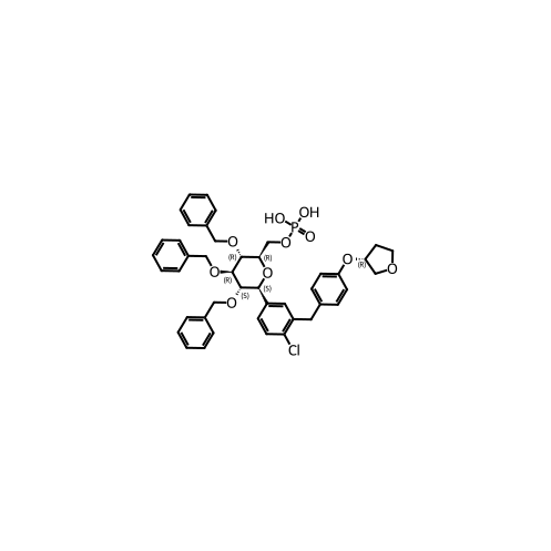 O=P(O)(O)OC[C@H]1O[C@@H](c2ccc(Cl)c(Cc3ccc(O[C@@H]4CCOC4)cc3)c2)[C@H](OCc2ccccc2)[C@@H](OCc2ccccc2)[C@@H]1OCc1ccccc1